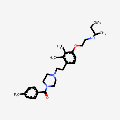 COCC(C)NCCOc1ccc(CCN2CCN(C(=O)c3ccc(C(F)(F)F)cc3)CC2)c(C)c1C